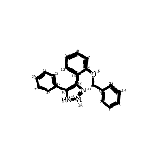 c1ccc(COc2ccccc2-c2nn[nH]c2-c2ccccc2)cc1